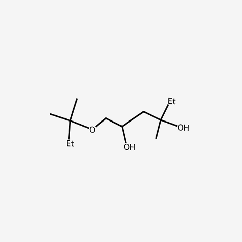 CCC(C)(O)CC(O)COC(C)(C)CC